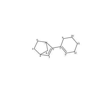 C1=C(C2=CC3CCC2C3)CCCC1